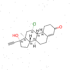 C#C[C@]1(O)CC[C@H]2[C@@H]3CCC4=CC(=O)CC[C@@H]4[C@H]3[C@@H](Cl)C[C@@]21C